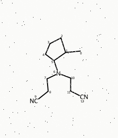 CC1CCCC1N(CCC#N)CCC#N